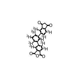 [2H]c1c([2H])c(-c2c([2H])c([2H])c3c(c2[2H])C(=O)CC3=O)c([2H])c(-c2c([2H])c([2H])c3c(c2[2H])C(=O)OC3=O)c1[2H]